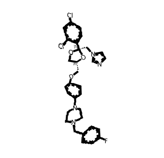 Fc1ccc(CN2CCN(c3ccc(OC[C@@H]4CO[C@@](Cn5ccnc5)(c5ccc(Cl)cc5Cl)O4)cc3)CC2)cc1